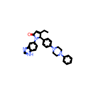 CCC1=CC(=O)N(c2ccc3[nH]cnc3c2)C1c1ccc(N2CCN(c3ccccc3)CC2)cc1